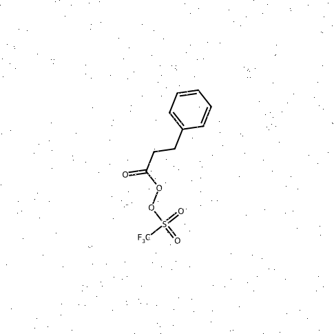 O=C(CCc1ccccc1)OOS(=O)(=O)C(F)(F)F